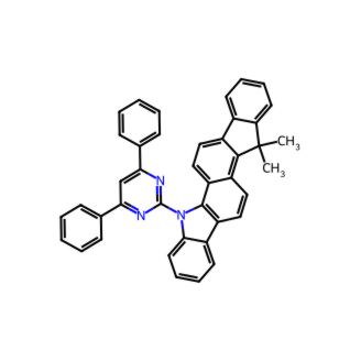 CC1(C)c2ccccc2-c2ccc3c(ccc4c5ccccc5n(-c5nc(-c6ccccc6)cc(-c6ccccc6)n5)c34)c21